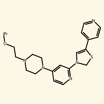 CC(C)OCCN1CCN(c2ccnc(N3C=C(c4ccncc4)SC3)c2)CC1